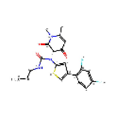 CC1=CC(=O)[C@H](N(C(=O)NCCC(=O)O)c2cc(-c3ccc(F)cc3F)cs2)C(=O)N1C